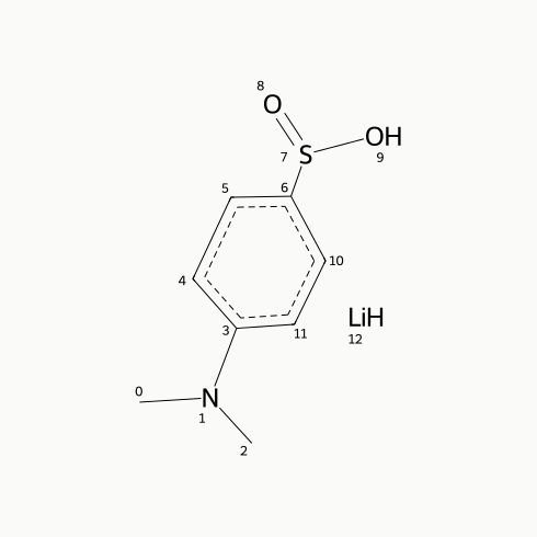 CN(C)c1ccc(S(=O)O)cc1.[LiH]